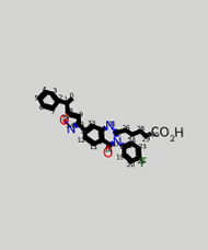 CC(c1ccccc1)c1cc(-c2ccc3c(=O)n(-c4ccc(F)cc4)c(CCCCC(=O)O)nc3c2)no1